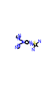 C/C=C\N(/C=N/C)CCN(CCn1cc[n+](C)c1)c1ccc(/N=N/c2sc(C#N)c(C)c2C#N)cc1